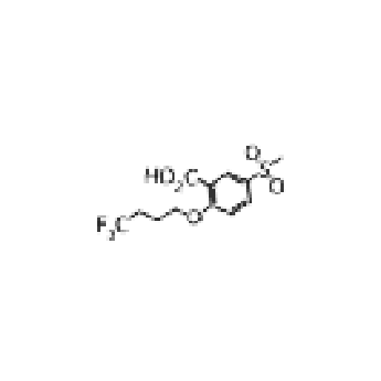 CS(=O)(=O)c1ccc(OCCCC(F)(F)F)c(C(=O)O)c1